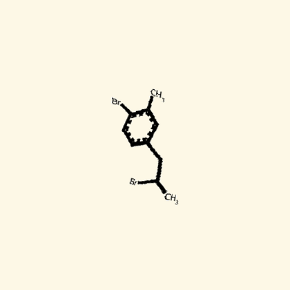 Cc1cc(CC(C)Br)ccc1Br